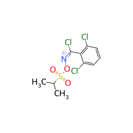 CC(C)S(=O)(=O)O/N=C(/Cl)c1c(Cl)cccc1Cl